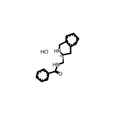 Cl.O=C(NC[C@@H]1Cc2ccccc2CN1)c1ccccc1